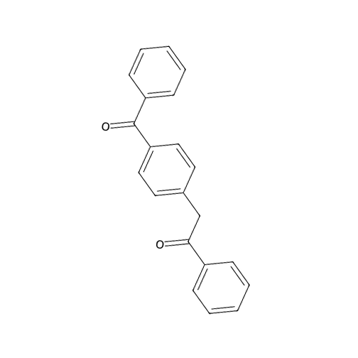 O=C(Cc1ccc(C(=O)c2ccccc2)cc1)c1ccccc1